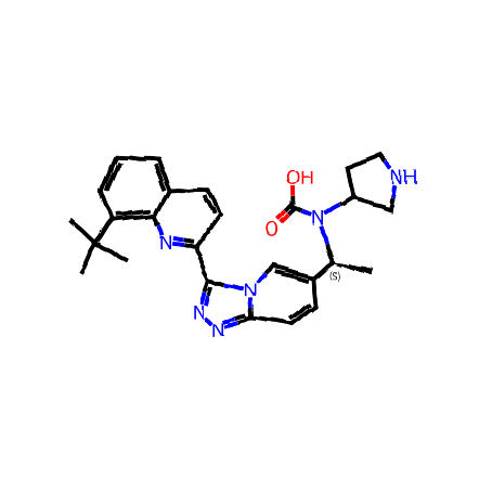 C[C@@H](c1ccc2nnc(-c3ccc4cccc(C(C)(C)C)c4n3)n2c1)N(C(=O)O)C1CCNC1